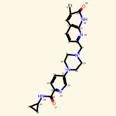 CCc1cc2ccc(CN3CCN(c4ccc(C(=O)NC5CC5)nc4)CC3)nc2[nH]c1=O